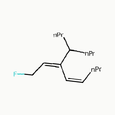 CCC/C=C\C(=C/CF)C(CCC)CCC